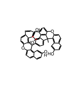 CC1(c2ccc(C3c4c(ccc5ccc(O)cc45)Oc4ccc5ccc(O)cc5c43)cc2)c2c(ccc3ccc(O)cc23)Oc2ccc3ccc(O)cc3c21